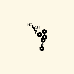 OCCC(O)CCOc1ccc([C@@H]2c3ccc(OCc4ccccc4)cc3CC[C@@H]2c2ccccc2)cc1